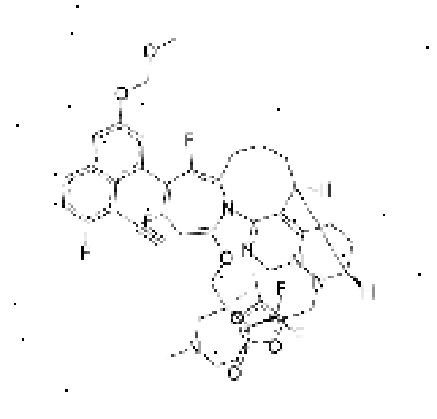 C#Cc1c(F)ccc2cc(OCOC)cc(C3=C(F)C=C(OC[C@]4(C)CN(C)CC[C@@H]4C(F)F)N4C5=NCN6C7=C5[C@@H](CCCC4=C3F)[C@H](CC7)N6Cc3oc(=O)oc3C)c12